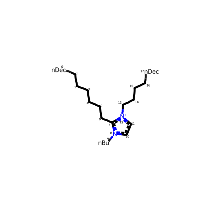 CCCCCCCCCCCCCCCCc1n(CCCC)cc[n+]1CCCCCCCCCCCCCC